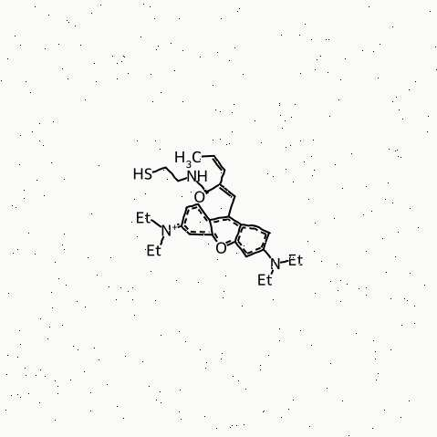 C/C=C\C(=C\c1c2ccc(=[N+](CC)CC)cc-2oc2cc(N(CC)CC)ccc12)C(=O)NCCS